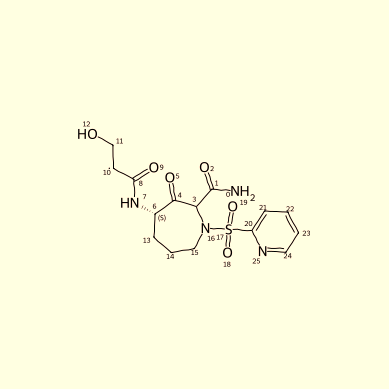 NC(=O)C1C(=O)[C@@H](NC(=O)[CH]CO)CCCN1S(=O)(=O)c1ccccn1